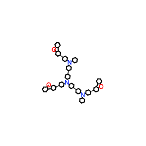 c1ccc(N(c2ccc(-c3ccc(N(c4ccc(-c5ccc(N(c6ccccc6)c6ccc(-c7ccc8oc9ccccc9c8c7)cc6)cc5)cc4)c4ccc(-c5ccc6c(c5)oc5ccccc56)cc4)cc3)cc2)c2ccc(-c3ccc4oc5ccccc5c4c3)cc2)cc1